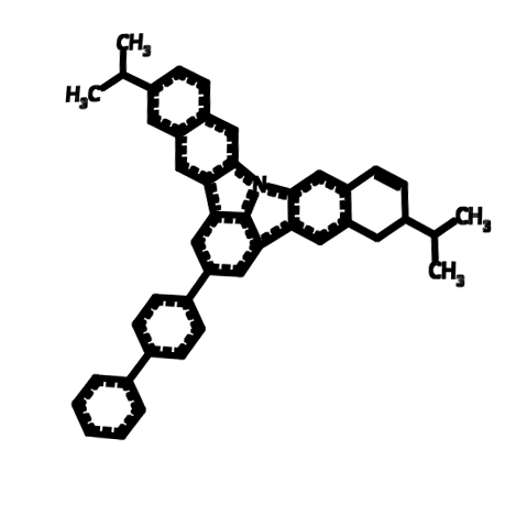 CC(C)c1ccc2cc3c(cc2c1)c1cc(-c2ccc(-c4ccccc4)cc2)cc2c4cc5c(cc4n3c21)C=CC(C(C)C)C5